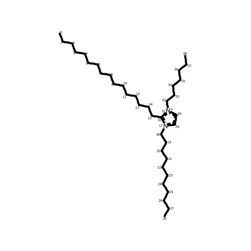 CCCCCCCCCCCCCCCCc1n(CCCCCCCCCCC)cc[n+]1CCCCCCC